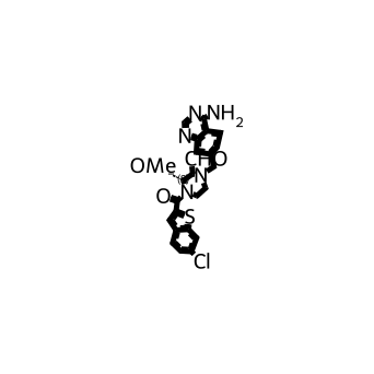 COC[C@@H]1C(C=O)N(Cc2ccc3c(N)ncnc3c2)CCN1C(=O)c1cc2ccc(Cl)cc2s1